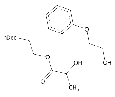 CCCCCCCCCCCCOC(=O)C(C)O.OCCOc1ccccc1